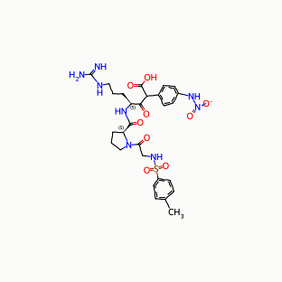 Cc1ccc(S(=O)(=O)NCC(=O)N2CCC[C@H]2C(=O)N[C@@H](CCCNC(=N)N)C(=O)C(C(=O)O)c2ccc(N[N+](=O)[O-])cc2)cc1